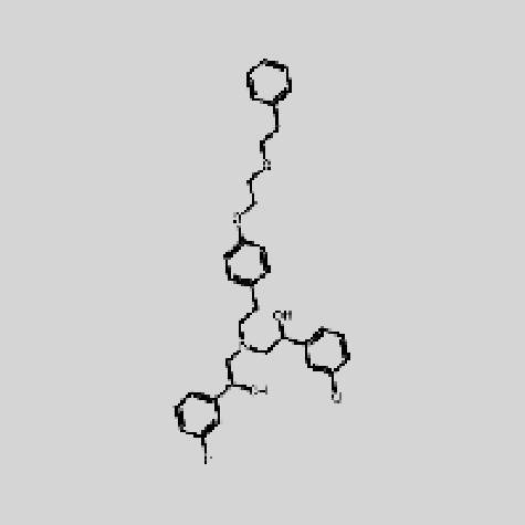 OC(CN(CCc1ccc(OCCOCCc2ccccc2)cc1)CC(O)c1cccc(Cl)c1)c1cccc(Cl)c1